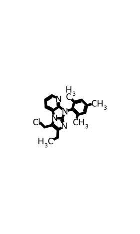 CCc1nc2n(-c3c(C)cc(C)cc3C)c3ncccc3n2c1CCl